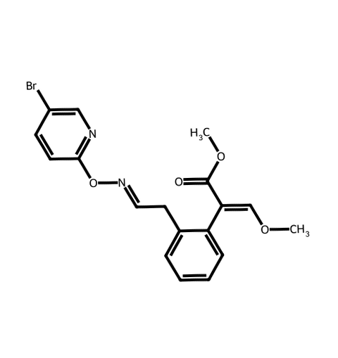 CO/C=C(/C(=O)OC)c1ccccc1CC=NOc1ccc(Br)cn1